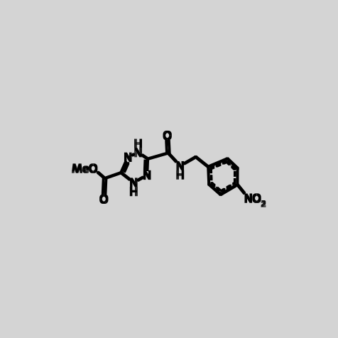 COC(=O)C1=NNC(C(=O)NCc2ccc([N+](=O)[O-])cc2)=NN1